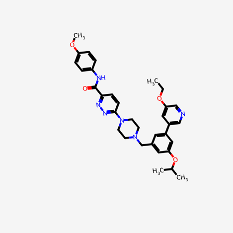 CCOc1cncc(-c2cc(CN3CCN(c4ccc(C(=O)Nc5ccc(OC)cc5)nn4)CC3)cc(OC(C)C)c2)c1